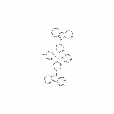 Cc1ccc(S(c2ccccc2)(c2ccc(-n3c4c(c5c3C=CCC5)CCC=C4)cc2)c2ccc(-n3c4ccccc4c4ccccc43)cc2)cc1